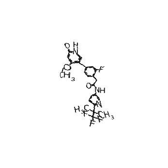 CCOc1cc(=O)[nH]cc1-c1ccc(CC(=O)Nc2ccc(C(C)(C)C(F)(F)F)nc2)c(F)c1